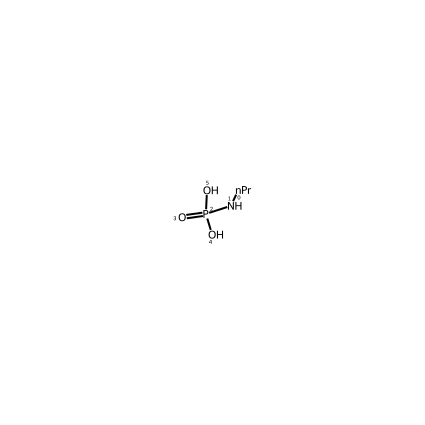 CCCNP(=O)(O)O